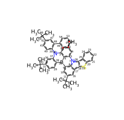 Cc1cc2c3c(c1)-n1c4c(cc(C(C)(C)C)cc4c4sc5ccccc5c41)B3c1ccc(C(C)(C)C)cc1N2c1ccc(C(C)(C)C)cc1-c1ccccc1